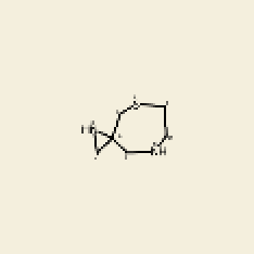 C1CSCC2(CN1)CN2